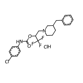 Cl.O=C(Nc1ccc(Cl)cc1)OC(CN1CCCC(Cc2ccccc2)C1)C(F)(F)F